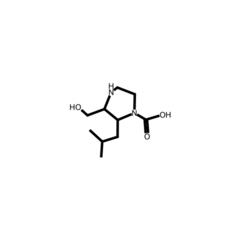 CC(C)CC1C(CO)NCCN1C(=O)O